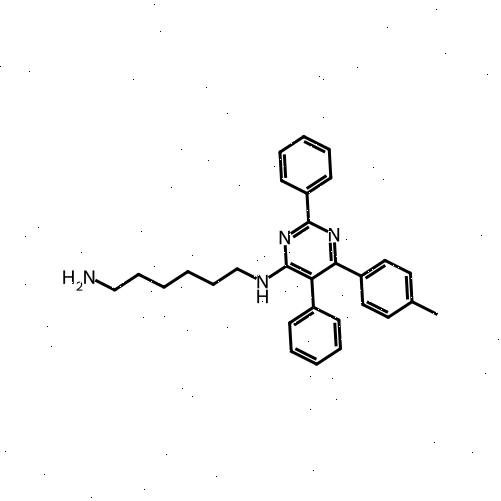 Cc1ccc(-c2nc(-c3ccccc3)nc(NCCCCCCN)c2-c2ccccc2)cc1